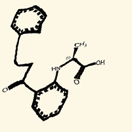 C[C@H](Nc1ccccc1C(=O)CCc1ccccc1)C(=O)O